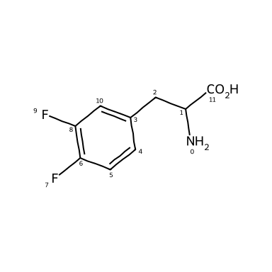 NC(Cc1ccc(F)c(F)c1)C(=O)O